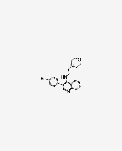 Brc1ccc(-c2cnc3ccccc3c2NCCN2CCOCC2)cc1